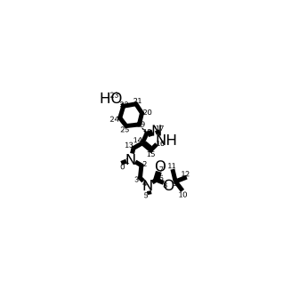 CN(CCN(C)C(=O)OC(C)(C)C)Cc1c[nH]nc1[C@H]1CC[C@H](O)CC1